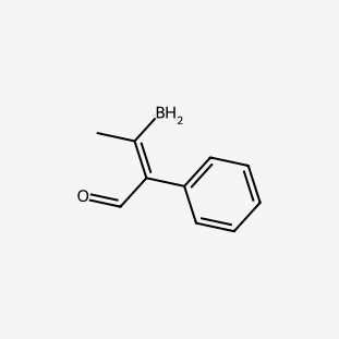 B/C(C)=C(/C=O)c1ccccc1